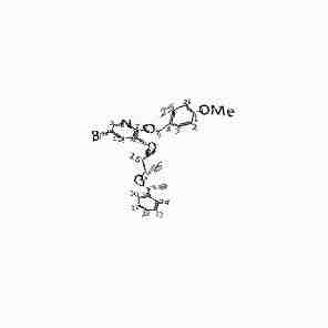 COc1ccc(COc2ncc(Br)cc2OCCOCc2ccccc2)cc1